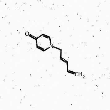 C=CC=CCn1ccc(=O)cc1